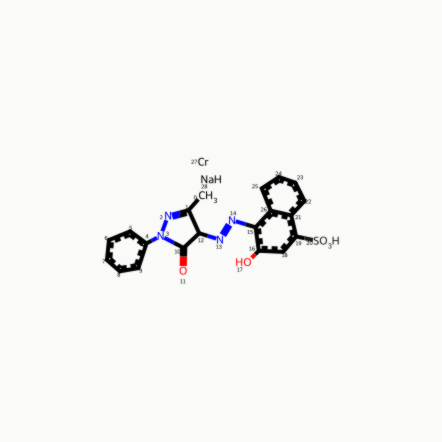 CC1=NN(c2ccccc2)C(=O)C1N=Nc1c(O)cc(S(=O)(=O)O)c2ccccc12.[Cr].[NaH]